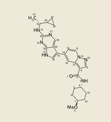 CO[C@H]1CC[C@H](NC(=O)c2cnn3ccc(-c4c[nH]c5nc(N[C@H](C)C6CC6)ncc45)cc23)CC1